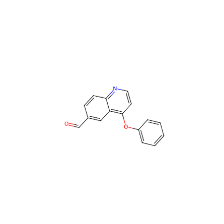 O=Cc1ccc2nccc(Oc3ccccc3)c2c1